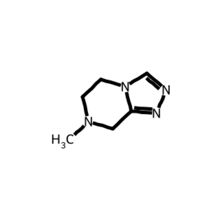 CN1CCn2cnnc2C1